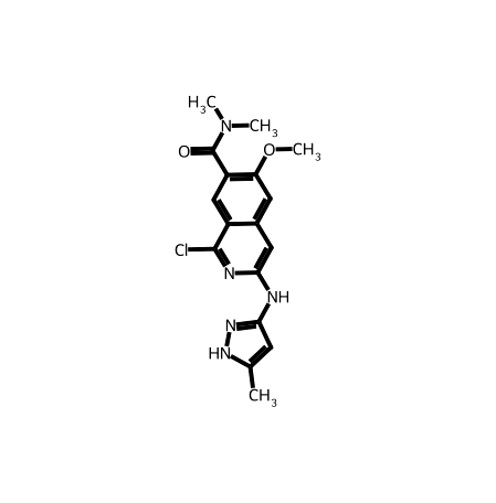 COc1cc2cc(Nc3cc(C)[nH]n3)nc(Cl)c2cc1C(=O)N(C)C